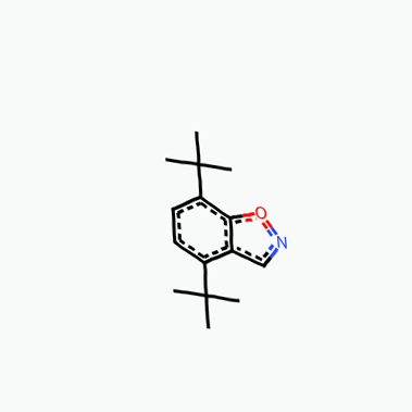 CC(C)(C)c1ccc(C(C)(C)C)c2oncc12